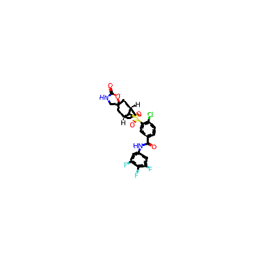 O=C1NCC2(C[C@@H]3CC[C@@H](C2)C3S(=O)(=O)c2cc(C(=O)Nc3cc(F)c(F)c(F)c3)ccc2Cl)O1